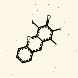 O=c1c(I)c2oc3ccccc3cc-2c(I)c1I